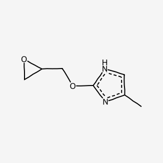 Cc1c[nH]c(OCC2CO2)n1